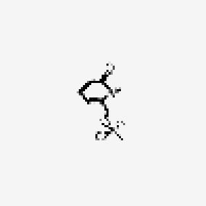 Cn1c(COS(C)(=O)=O)cccc1=O